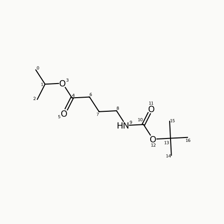 CC(C)OC(=O)CCCNC(=O)OC(C)(C)C